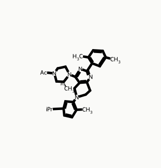 CC(=O)N1CCN(c2nc(-c3cc(C)ccc3C)nc3c2CN(c2cc(C(C)C)ccc2C)CC3)[C@H](C)C1